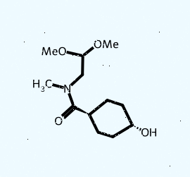 COC(CN(C)C(=O)[C@H]1CC[C@H](O)CC1)OC